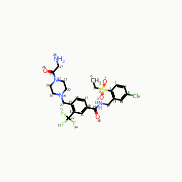 CCS(=O)(=O)c1ccc(Cl)cc1CNC(=O)c1ccc(CN2CCN(C(=O)CN)CC2)c(C(F)(F)F)c1